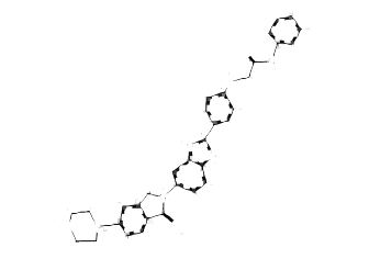 O=C(COc1ccc(-c2nc3cc(N4Cc5cc(N6CCOCC6)ccc5C4=O)ccc3[nH]2)cc1)Nc1ccccc1